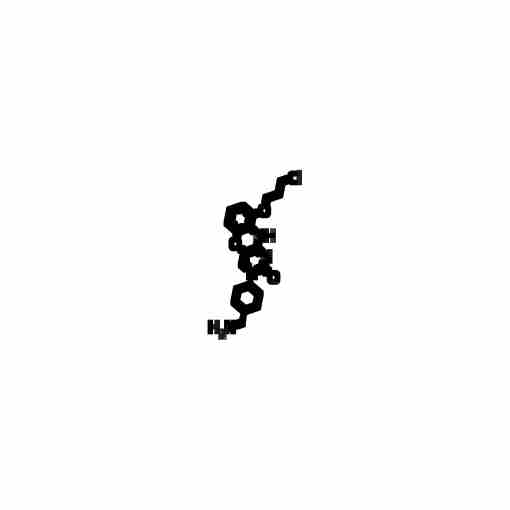 NC[C@H]1CC[C@H](n2cc3c(nc2=O)Nc2c(OCCCCl)cccc2O3)CC1